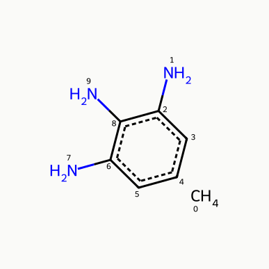 C.Nc1cccc(N)c1N